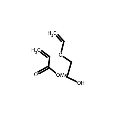 C=CC(=O)OC.C=COCCO